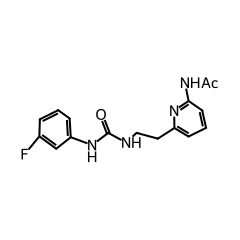 CC(=O)Nc1cccc(CCNC(=O)Nc2cccc(F)c2)n1